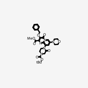 COC(=O)c1nc2c(N3CCN(C(=O)OC(C)(C)C)CC3=O)cc(N3CCOCC3)cn2c(=O)c1OCc1ccccc1